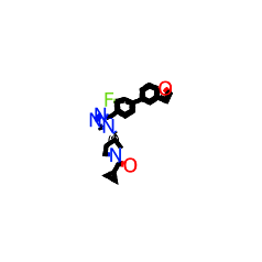 O=C(C1CC1)N1CC[C@H](Cn2cnnc2-c2ccc(-c3ccc4occc4c3)cc2F)C1